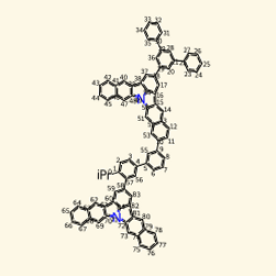 CC(C)c1ccc(-c2cccc(-c3ccc4cc5c6cc(-c7cc(-c8ccccc8)cc(-c8ccccc8)c7)cc7c8cc9ccccc9cc8n(c5cc4c3)c76)c2)cc1-c1cc2c3cc4ccccc4cc3n3c4cc5ccccc5cc4c(c1)c23